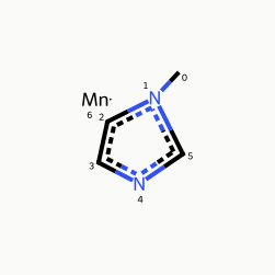 Cn1ccnc1.[Mn]